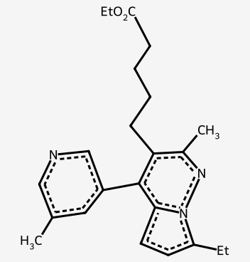 CCOC(=O)CCCCc1c(C)nn2c(CC)ccc2c1-c1cncc(C)c1